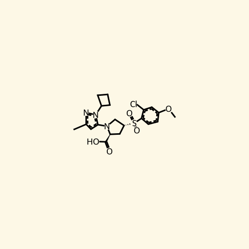 COc1ccc(S(=O)(=O)[C@@H]2C[C@@H](C(=O)O)N(c3cc(C)nn3C3CCC3)C2)c(Cl)c1